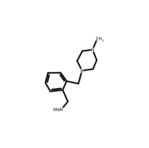 CNCc1ccccc1CN1CCN(C)CC1